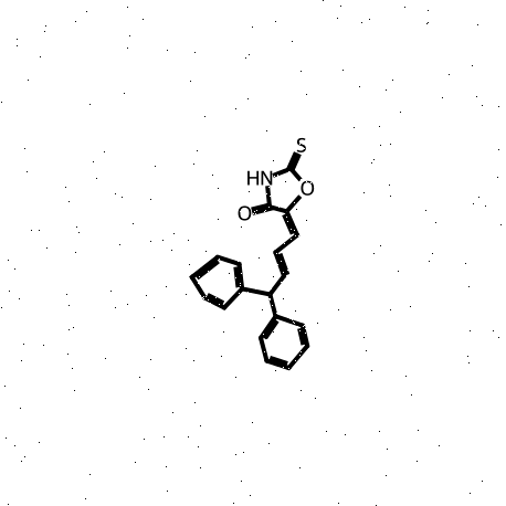 O=C1NC(=S)O/C1=C/C=C/C(c1ccccc1)c1ccccc1